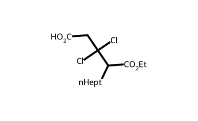 CCCCCCCC(C(=O)OCC)C(Cl)(Cl)CC(=O)O